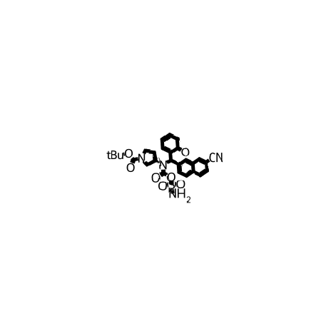 CC(C)(C)OC(=O)N1CC[C@H](N(C(=O)OS(N)(=O)=O)C(C2=CC=CCC2=O)c2ccc3ccc(C#N)cc3c2)C1